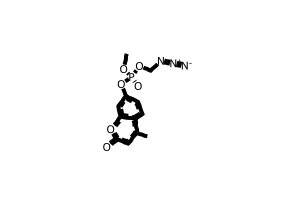 COP(=O)(OCN=[N+]=[N-])Oc1ccc2c(C)cc(=O)oc2c1